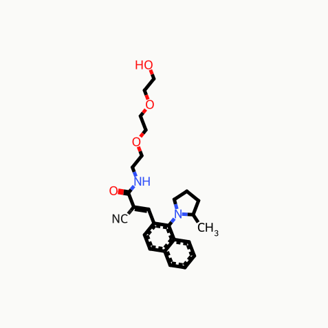 CC1CCCN1c1c(/C=C(\C#N)C(=O)NCCOCCOCCO)ccc2ccccc12